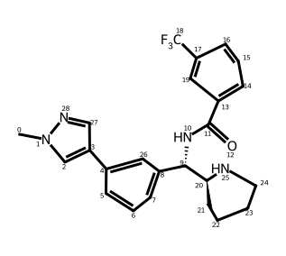 Cn1cc(-c2cccc([C@H](NC(=O)c3cccc(C(F)(F)F)c3)[C@@H]3CCCCN3)c2)cn1